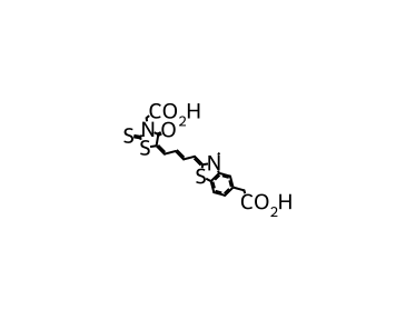 CN1/C(=C/C=CC=C2SC(=S)N(CC(=O)O)C2=O)Sc2ccc(CC(=O)O)cc21